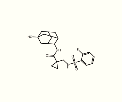 O=C(NC1C2CC3CC1CC(O)(C3)C2)C1(CNS(=O)(=O)c2ccccc2F)CC1